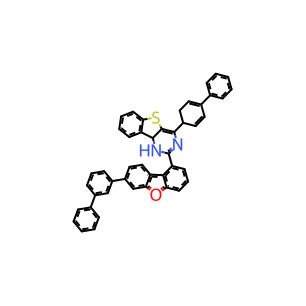 C1=CC(C2=C3Sc4ccccc4C3NC(c3cccc4oc5cc(-c6cccc(-c7ccccc7)c6)ccc5c34)=N2)CC=C1c1ccccc1